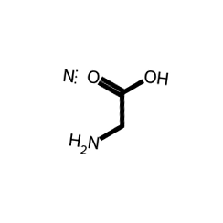 NCC(=O)O.[N]